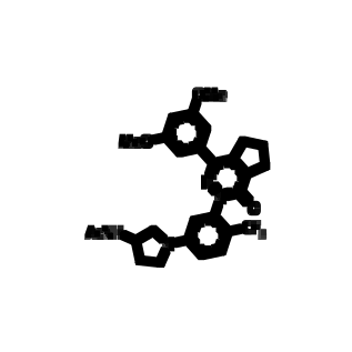 COc1cc(OC)cc(-c2nn(-c3cc(N4CCC(NC(C)=O)C4)ccc3C(F)(F)F)c(=O)c3c2CCC3)c1